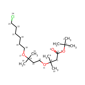 CC(C)(C)OC(=O)CC(C)(C)OCCC(C)(C)OCCCCCCCl